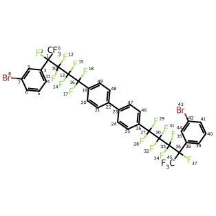 FC(F)(F)C(F)(c1cccc(Br)c1)C(F)(F)C(F)(F)C(F)(F)c1ccc(-c2ccc(C(F)(F)C(F)(F)C(F)(F)C(F)(c3cccc(Br)c3)C(F)(F)F)cc2)cc1